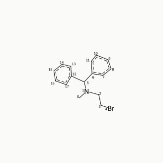 CN(CCBr)C(c1ccccc1)c1ccccc1